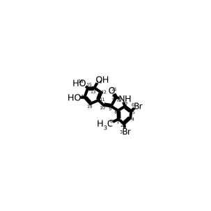 Cc1c(Br)cc(Br)c2c1C(=Cc1cc(O)c(O)c(O)c1)C(=O)N2